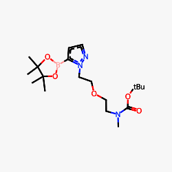 CN(CCOCCn1nccc1B1OC(C)(C)C(C)(C)O1)C(=O)OC(C)(C)C